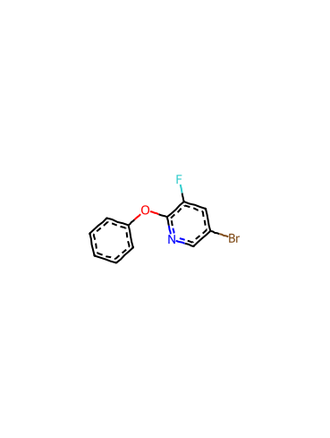 Fc1cc(Br)cnc1Oc1ccccc1